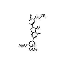 COC1CC(C2=CC(C)C3C(=O)N(C4=CC(OCC(F)(F)F)NCC4)CC3=N2)C=NC1OC